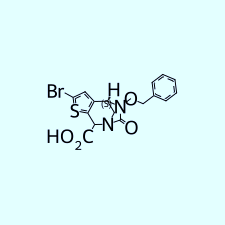 O=C(O)C1c2sc(Br)cc2[C@H]2CN1C(=O)N2OCc1ccccc1